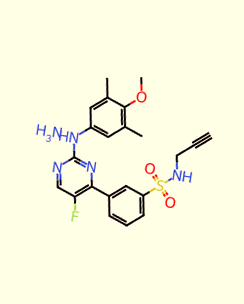 C#CCNS(=O)(=O)c1cccc(-c2nc(Nc3cc(C)c(OC)c(C)c3)ncc2F)c1.N